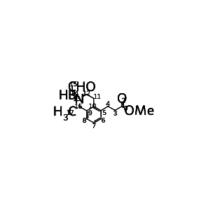 COC(=O)CCc1cccc2c1CCN(BC=O)[C@H]2C